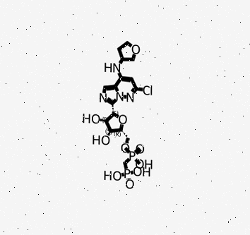 O=P(O)(O)CP(=O)(O)OC[C@H]1O[C@@H](c2ncc3c(NC4CCOC4)cc(Cl)nn23)[C@H](O)[C@@H]1O